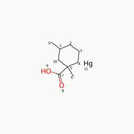 CC1CCCC(C)(C(=O)O)C1.[Hg]